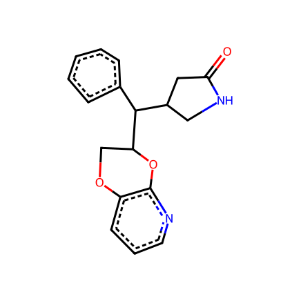 O=C1CC(C(c2ccccc2)C2COc3cccnc3O2)CN1